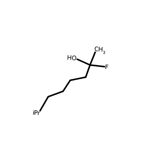 CC(C)CCCCC(C)(O)F